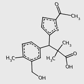 CC(=O)c1ccc(C(c2ccc(C)c(CO)c2)C(C)(C)C(=O)O)s1